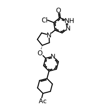 CC(=O)C1CC=C(c2ccnc(O[C@@H]3CCN(c4cn[nH]c(=O)c4Cl)C3)c2)CC1